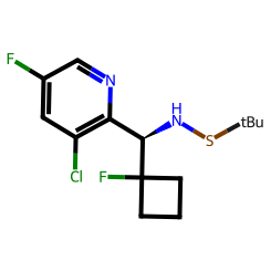 CC(C)(C)SN[C@H](c1ncc(F)cc1Cl)C1(F)CCC1